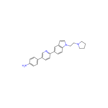 Nc1ccc(-c2ccc(-c3ccc4c(ccn4CCN4CCCC4)c3)nc2)cc1